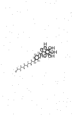 CCCCCCCCCCCc1ccc(C=CC(=O)c2c(O)c(O)c(O)c(O)c2O)cc1